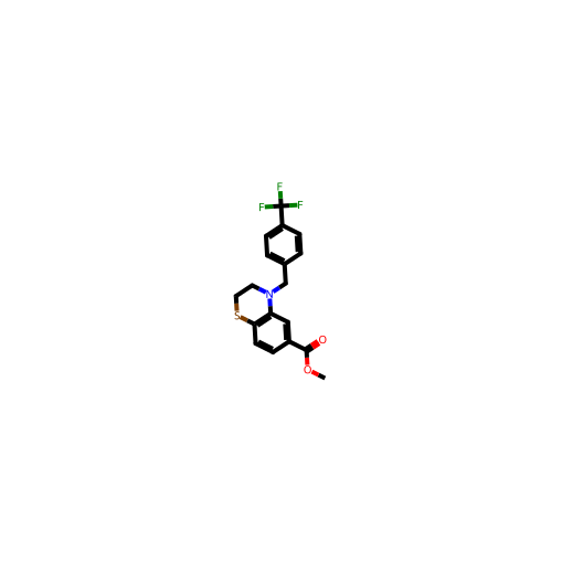 COC(=O)c1ccc2c(c1)N(Cc1ccc(C(F)(F)F)cc1)CCS2